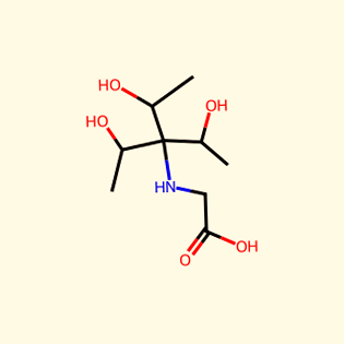 CC(O)C(NCC(=O)O)(C(C)O)C(C)O